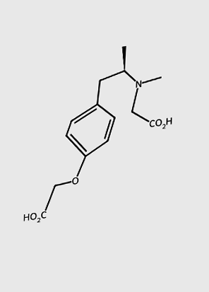 C[C@H](Cc1ccc(OCC(=O)O)cc1)N(C)CC(=O)O